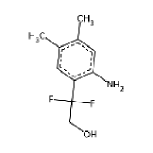 Cc1cc(N)c(C(F)(F)CO)cc1C